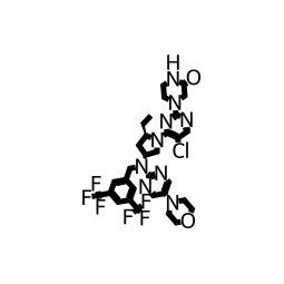 CC[C@@H]1C[C@H](N(Cc2cc(C(F)(F)F)cc(C(F)(F)F)c2)c2ncc(N3CCOCC3)cn2)CN1c1nc(N2CCNC(=O)C2)ncc1Cl